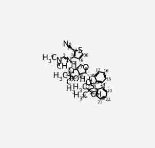 CN(C)/C=N/c1c([C@@H]2O[C@H](CO[Si](c3ccccc3)(c3ccccc3)C(C)(C)C)[C@H]3OC(C)(C)O[C@H]32)csc1C#N